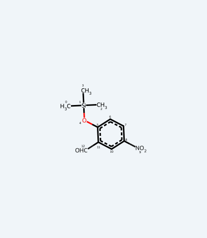 C[Si](C)(C)Oc1ccc([N+](=O)[O-])cc1C=O